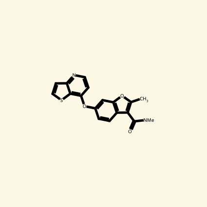 CNC(=O)c1c(C)oc2cc(Oc3ccnc4ccsc34)ccc12